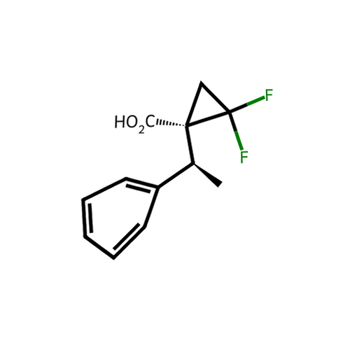 C[C@@H](c1ccccc1)[C@@]1(C(=O)O)CC1(F)F